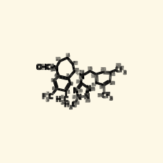 Cc1cc2c(cc1C(F)(F)F)N(C=O)CCC[C@@H]2N(Cc1cc(C(F)(F)F)cc(C(F)(F)F)c1)c1nnn(C)n1